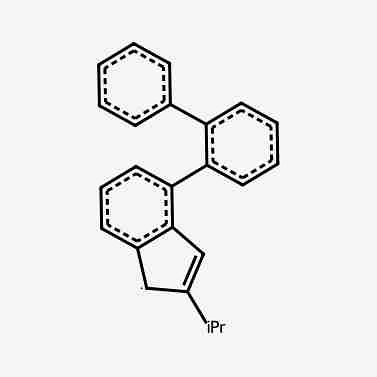 CC(C)C1=Cc2c(cccc2-c2ccccc2-c2ccccc2)[CH]1